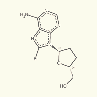 Nc1ncnc2c1nc(Br)n2[C@H]1CC[C@H](CO)O1